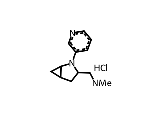 CNCC1CC2CC2N1c1cccnc1.Cl